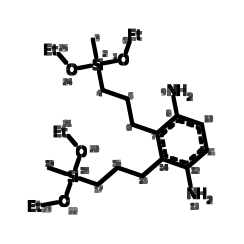 CCO[Si](C)(CCCc1c(N)ccc(N)c1CCC[Si](C)(OCC)OCC)OCC